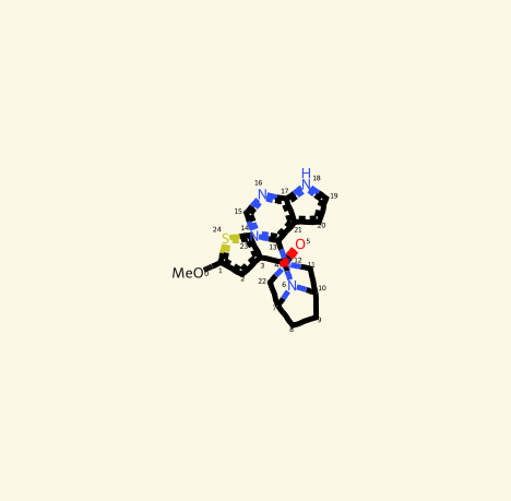 COc1cc(C(=O)N2C3CCC2CN(c2ncnc4[nH]ccc24)C3)cs1